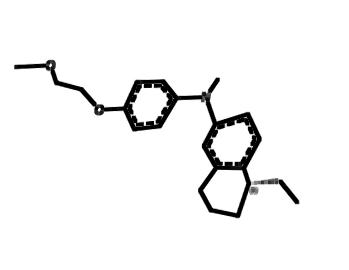 CC[C@@H]1CCCc2cc(N(C)c3ccc(OCCOC)cc3)ccc21